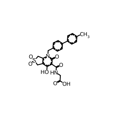 Cc1ccc(-c2ccc(Cn3c4c(c(O)c(C(=O)NCC(=O)O)c3=O)CS(=O)(=O)C4)cc2)cc1